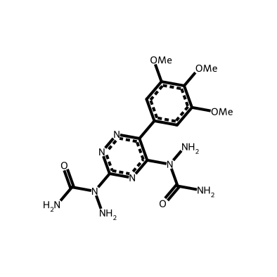 COc1cc(-c2nnc(N(N)C(N)=O)nc2N(N)C(N)=O)cc(OC)c1OC